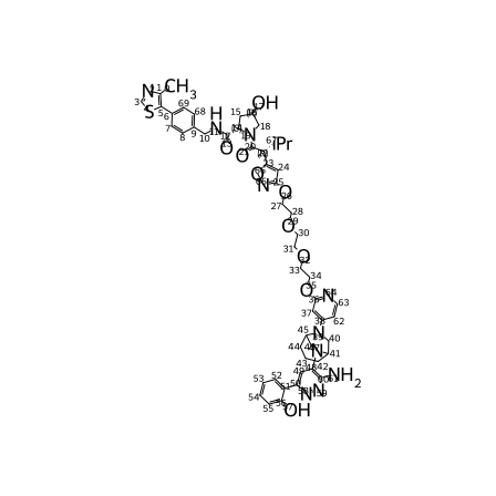 Cc1ncsc1-c1ccc(CNC(=O)[C@@H]2C[C@@H](O)CN2C(=O)[C@@H](c2cc(OCCOCCOCCOc3cc(N4CC5CCCC4CN5c4cc(-c5ccccc5O)nnc4N)ccn3)no2)C(C)C)cc1